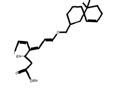 CC[C@@H](CC(=O)OC)C(/C=C\I)=C/C=C/OCC1CCCC2(C=CCCC2(C)C)C1